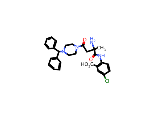 CC(N)(CC(=O)N1CCN(C(c2ccccc2)c2ccccc2)CC1)C(=O)Nc1ccc(Cl)cc1C(=O)O